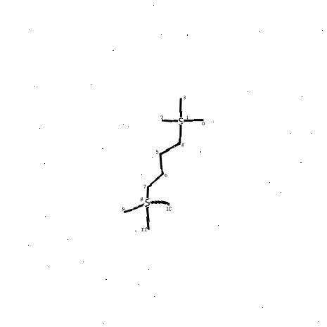 CS(C)(C)CCCCS(C)(C)C